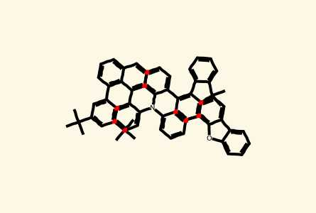 CC(C)(C)c1cc(-c2cccc3cccc(-c4ccccc4N(c4cccc(-c5cccc6c5oc5ccccc56)c4)c4ccccc4-c4cccc5c4-c4ccccc4C5(C)C)c23)cc(C(C)(C)C)c1